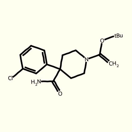 C=C(OC(C)(C)C)N1CCC(C(N)=O)(c2cccc(Cl)c2)CC1